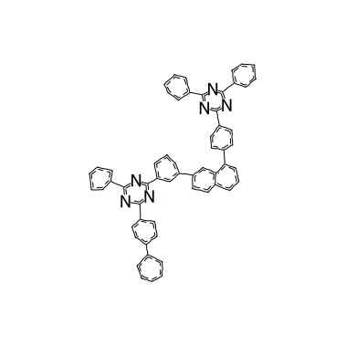 c1ccc(-c2ccc(-c3nc(-c4ccccc4)nc(-c4cccc(-c5ccc6cccc(-c7ccc(-c8nc(-c9ccccc9)nc(-c9ccccc9)n8)cc7)c6c5)c4)n3)cc2)cc1